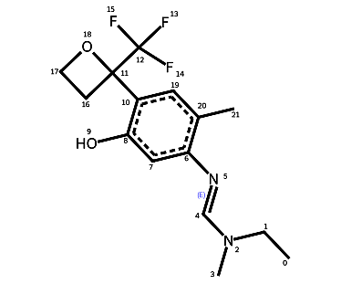 CCN(C)/C=N/c1cc(O)c(C2(C(F)(F)F)CCO2)cc1C